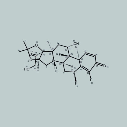 CC1(C)O[C@@H]2C[C@H]3[C@@H]4C[C@H](F)C5=C(F)C(=O)C=C[C@]5(C)[C@@]4(F)[C@@H](O)C[C@]3(C)[C@]2(C(=O)CO)O1